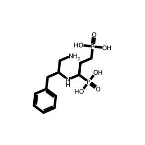 NCC(Cc1ccccc1)NC(CCP(=O)(O)O)P(=O)(O)O